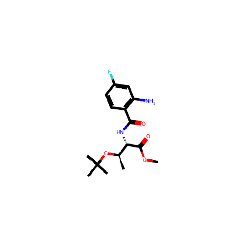 COC(=O)[C@@H](NC(=O)c1ccc(F)cc1N)[C@@H](C)OC(C)(C)C